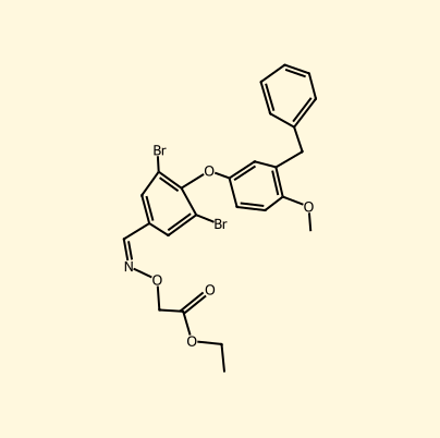 CCOC(=O)CO/N=C\c1cc(Br)c(Oc2ccc(OC)c(Cc3ccccc3)c2)c(Br)c1